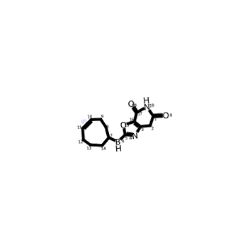 O=C1Cc2nc(BC3CC/C=C\CCC3)oc2C(=O)N1